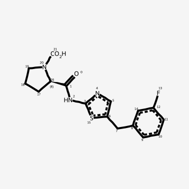 O=C(Nc1ncc(Cc2cccc(F)c2)s1)[C@H]1CCCN1C(=O)O